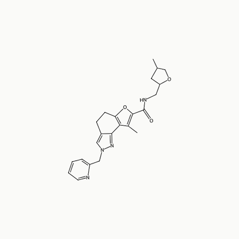 Cc1c(C(=O)NCC2CC(C)CO2)oc2c1-c1nn(Cc3ccccn3)cc1CC2